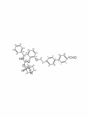 O=Cc1ccc(-c2ccc(CCOc3cccc(C(NC(=O)O[C@H]4CN5CCC4CC5)c4ccccc4)c3)cc2)cc1